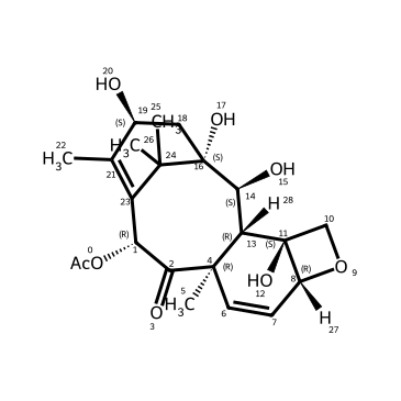 CC(=O)O[C@H]1C(=O)[C@]2(C)C=C[C@H]3OC[C@@]3(O)[C@H]2[C@H](O)[C@]2(O)C[C@H](O)C(C)=C1C2(C)C